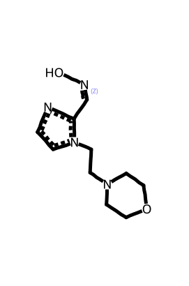 O/N=C\c1nccn1CCN1CCOCC1